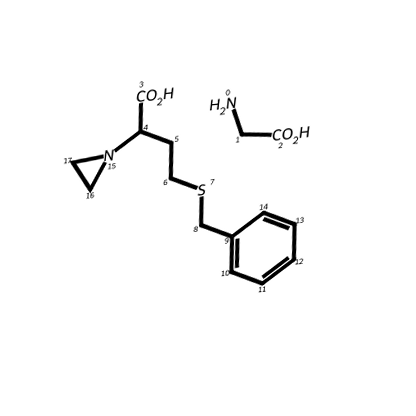 NCC(=O)O.O=C(O)C(CCSCc1ccccc1)N1CC1